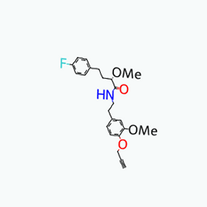 C#CCOc1ccc(CCNC(=O)[C@H](CCc2ccc(F)cc2)OC)cc1OC